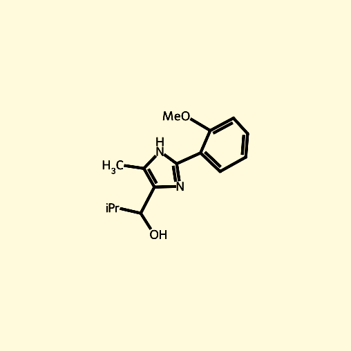 COc1ccccc1-c1nc(C(O)C(C)C)c(C)[nH]1